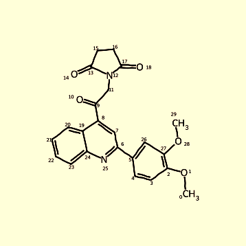 COc1ccc(-c2cc(C(=O)CN3C(=O)CCC3=O)c3ccccc3n2)cc1OC